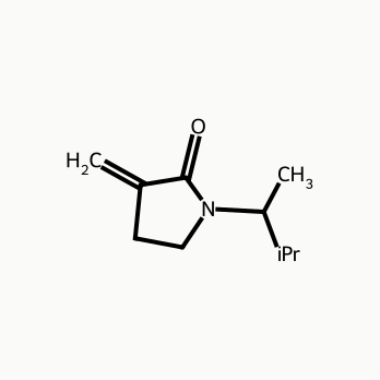 C=C1CCN(C(C)C(C)C)C1=O